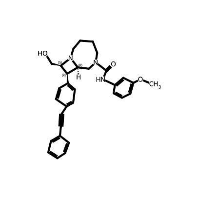 COc1cccc(NC(=O)N2CCCCN3[C@H](CO)[C@H](c4ccc(C#Cc5ccccc5)cc4)[C@@H]3C2)c1